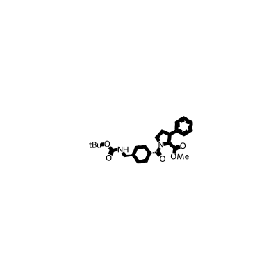 COC(=O)C1C(c2ccccc2)CCN1C(=O)[C@H]1CC[C@H](CNC(=O)OC(C)(C)C)CC1